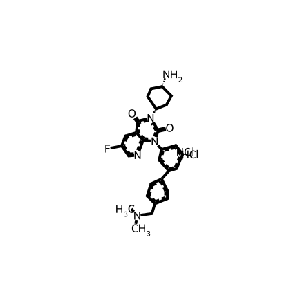 CN(C)Cc1ccc(-c2cccc(-n3c(=O)n([C@H]4CC[C@@H](N)CC4)c(=O)c4cc(F)cnc43)c2)cc1.Cl.Cl